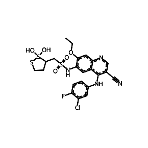 CCOc1cc2ncc(C#N)c(Nc3ccc(F)c(Cl)c3)c2cc1NS(=O)(=O)CC1CCSS1(O)O